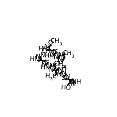 CCNc1n[nH]cc1-c1csc(Nc2nccc(C)n2)n1.COCc1n[nH]cc1-c1csc(Nc2nccc(C)n2)n1.Cc1ccnc(Nc2nc(-c3c[nH]nc3CO)cs2)n1